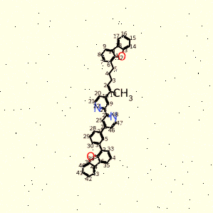 C/C(=C\CCCc1cccc2c1oc1ccccc12)c1ccnc(-c2cc(-c3cccc(-c4cccc5c4oc4ccccc45)c3)ccn2)c1